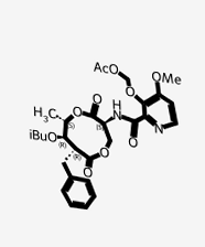 COc1ccnc(C(=O)N[C@H]2COC(=O)[C@H](Cc3ccccc3)[C@@H](OCC(C)C)[C@H](C)OC2=O)c1OCOC(C)=O